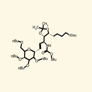 CCCCCCCCCCCCCC[C@H]1OC(C)(C)O[C@H]1[C@H](/C=C/[C@H]1OC(COCCCC)[C@H](OCCCC)C(OCCCC)C1OCCCC)NC(=O)OC(C)(C)C